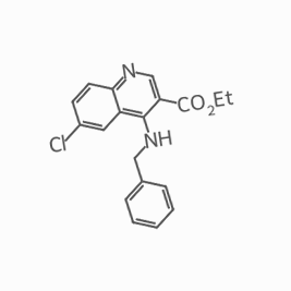 CCOC(=O)c1cnc2ccc(Cl)cc2c1NCc1ccccc1